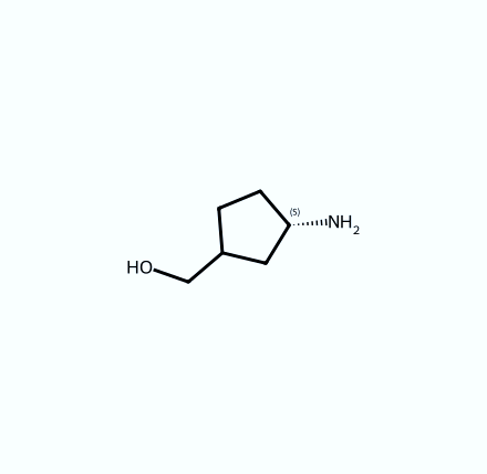 N[C@H]1CCC(CO)C1